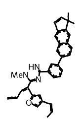 C=C/C=C(/C(=N/C(=N)c1cccc(-c2ccc3cc4c(cc3c2)C=CC4(C)C)c1)NC)c1cc(/C=C\C)co1